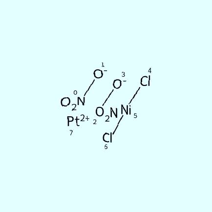 O=[N+]([O-])[O-].O=[N+]([O-])[O-].[Cl][Ni][Cl].[Pt+2]